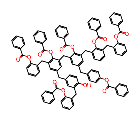 O=C(Oc1ccc(Cc2cc(Cc3cccc(Cc4ccccc4OC(=O)c4ccccc4)c3OC(=O)c3ccccc3)c(OC(=O)c3ccccc3)c(Cc3cc(Cc4ccc(O)c(Cc5ccccc5OC(=O)c5ccccc5)c4)cc(Cc4ccccc4OC(=O)c4ccccc4)c3OC(=O)c3ccccc3)c2)cc1)c1ccccc1